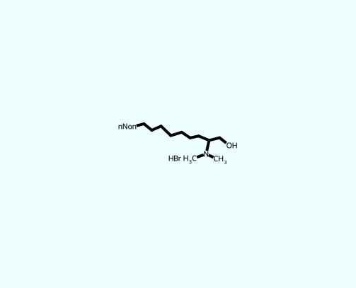 Br.CCCCCCCCCCCCCCCCC(CO)N(C)C